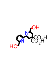 O=C(O)C1(C(=O)O)C=C(c2cccc(CO)n2)N=C(CO)C1